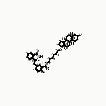 C[C@]12CCC(=O)C[C@@H]1CC[C@@H]1[C@@H]2CC[C@]2(C)[C@@H](OCCCCCCNC(=O)c3cc(Cc4n[nH]c(=O)c5ccccc45)ccc3F)CC[C@@H]12